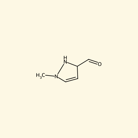 CN1C=CC(C=O)N1